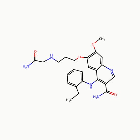 CCc1ccccc1Nc1c(C(N)=O)cnc2cc(OC)c(OCCCNCC(N)=O)cc12